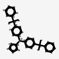 CC(C)(c1ccccc1)c1ccc(N(c2ccc(C(C)(C)c3ccccc3)cc2)c2cccs2)cc1